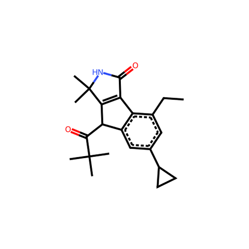 CCc1cc(C2CC2)cc2c1C1=C(C2C(=O)C(C)(C)C)C(C)(C)NC1=O